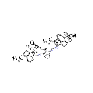 CCn1/c(=C\C=C2C(SCCOC=O)=C(/C=C/C3=[N+](CC)c4ccc(C)c5cccc3c45)C3CCC\2C3)c2cccc3c(S(=O)(=O)O)ccc1c32